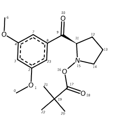 COc1cc(OC)cc(C(=O)[C@H]2CCCN2OC(=O)C(C)(C)C)c1